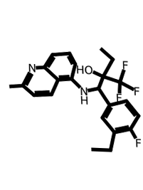 CCc1cc(C(Nc2cccc3nc(C)ccc23)C(O)(CC)C(F)(F)F)ccc1F